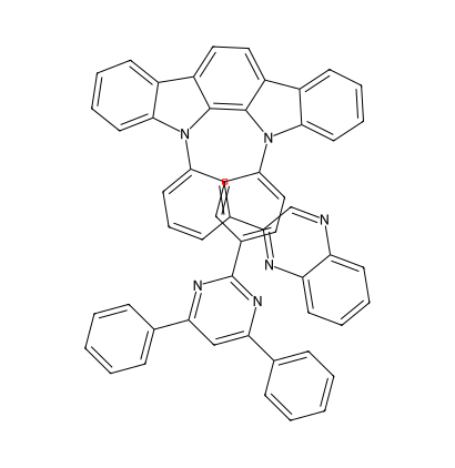 c1ccc(-c2cc(-c3ccccc3)nc(-c3ccc(-n4c5ccccc5c5ccc6c7ccccc7n(-c7cccc(-c8cnc9ccccc9n8)c7)c6c54)cc3)n2)cc1